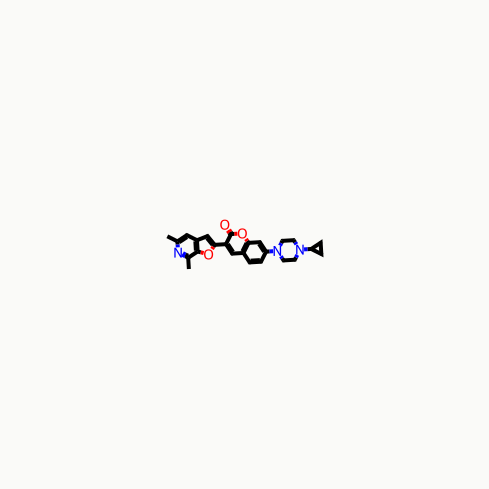 Cc1cc2cc(-c3cc4ccc(N5CCN(C6CC6)CC5)cc4oc3=O)oc2c(C)n1